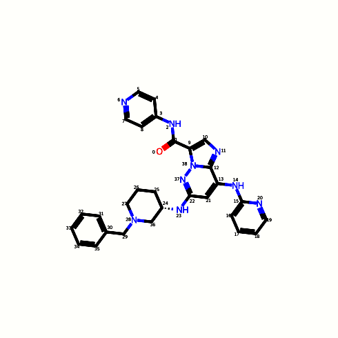 O=C(Nc1ccncc1)c1cnc2c(Nc3ccccn3)cc(N[C@H]3CCCN(Cc4ccccc4)C3)nn12